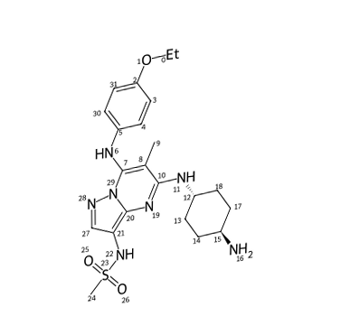 CCOc1ccc(Nc2c(C)c(N[C@H]3CC[C@H](N)CC3)nc3c(NS(C)(=O)=O)cnn23)cc1